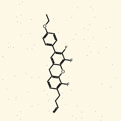 C=CCCc1ccc2c(c1F)Oc1c(cc(-c3ccc(OCC)cc3)c(F)c1F)C2